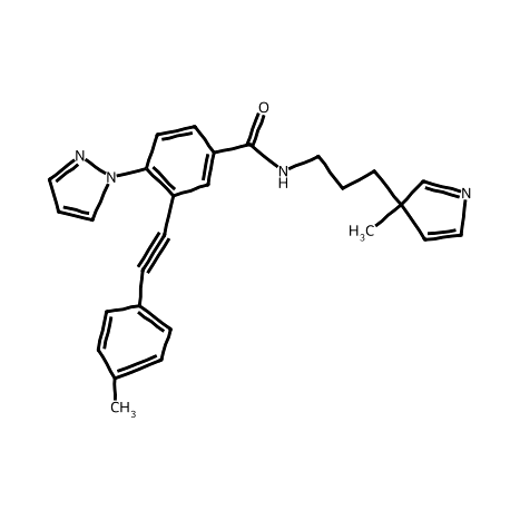 Cc1ccc(C#Cc2cc(C(=O)NCCCC3(C)C=CN=C3)ccc2-n2cccn2)cc1